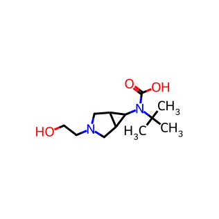 CC(C)(C)N(C(=O)O)C1C2CN(CCO)CC21